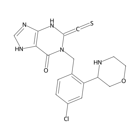 O=C1c2[nH]cnc2NC(=C=S)N1Cc1ccc(Cl)cc1C1COCCN1